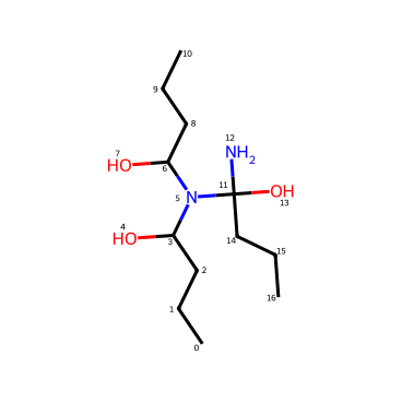 CCCC(O)N(C(O)CCC)C(N)(O)CCC